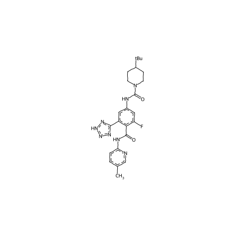 Cc1ccc(NC(=O)c2c(F)cc(NC(=O)N3CCC(C(C)(C)C)CC3)cc2-c2nn[nH]n2)nc1